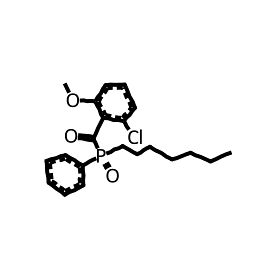 CCCCCCCP(=O)(C(=O)c1c(Cl)cccc1OC)c1ccccc1